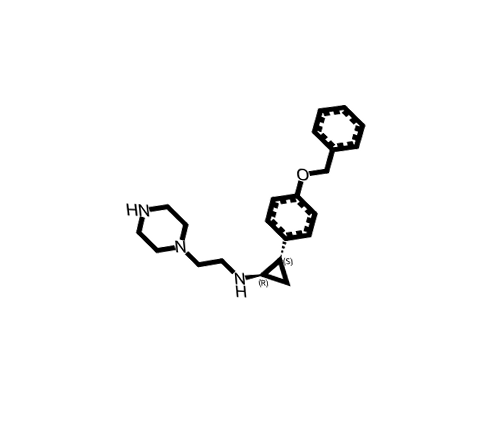 c1ccc(COc2ccc([C@@H]3C[C@H]3NCCN3CCNCC3)cc2)cc1